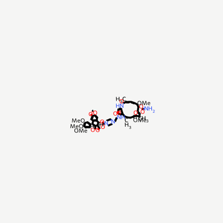 COc1cc([C@@H]2c3cc4c(cc3[C@@H](OC(=O)N3CCN(CCNC5=C6C[C@@H](C)C[C@H](OC)[C@H]7OC(=C[C@@H]7C)[C@H](OC(N)=O)[C@@H](OC)/C=C\C=C(/C)C(=O)NC(=CC5=O)C6=O)CC3)[C@H]3COC(=O)[C@H]23)OCO4)cc(OC)c1OC